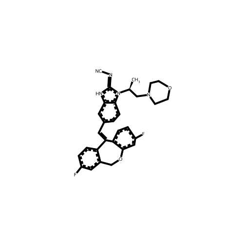 C[C@@H](CN1CCOCC1)n1c(=NC#N)[nH]c2cc(C=C3c4ccc(F)cc4COc4cc(F)ccc43)ccc21